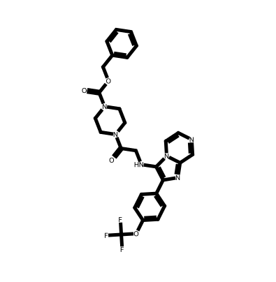 O=C(CNc1c(-c2ccc(OC(F)(F)F)cc2)nc2cnccn12)N1CCN(C(=O)OCc2ccccc2)CC1